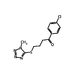 Cn1nnnc1SCCCC(=O)c1ccc(Cl)cc1